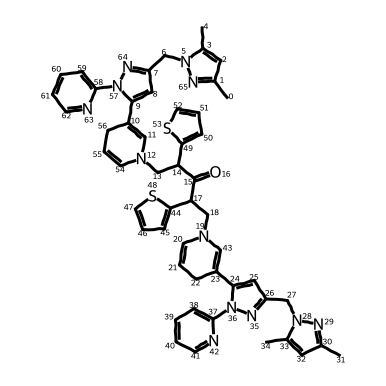 Cc1cc(C)n(Cc2cc(C3=CN(CC(C(=O)C(CN4C=CCC(c5cc(Cn6nc(C)cc6C)nn5-c5ccccn5)=C4)c4cccs4)c4cccs4)C=CC3)n(-c3ccccn3)n2)n1